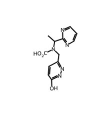 CC(c1ncccn1)N(Cc1ccc(O)nn1)C(=O)O